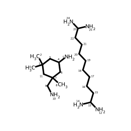 CC1(C)CC(N)CC(C)(CN)C1.NC(N)CCCCCCCCC(N)N